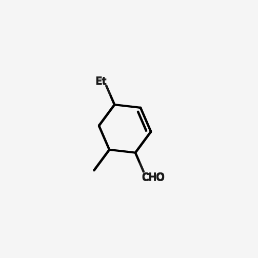 CCC1C=CC(C=O)C(C)C1